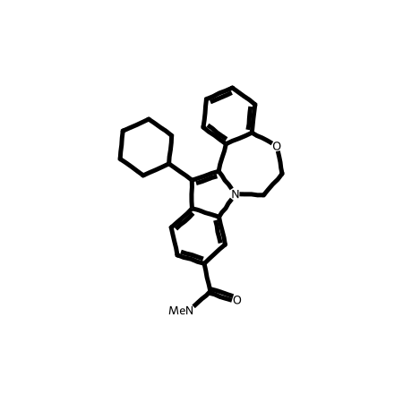 CNC(=O)c1ccc2c(C3CCCCC3)c3n(c2c1)CCOc1ccccc1-3